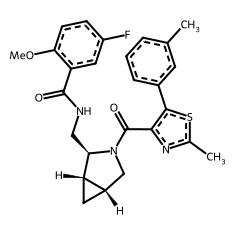 COc1ccc(F)cc1C(=O)NC[C@@H]1[C@H]2C[C@H]2CN1C(=O)c1nc(C)sc1-c1cccc(C)c1